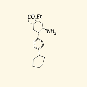 CCOC(=O)C[C@@H]1CC[C@@H](N)[C@H](c2ccc(C3CCCCC3)cc2)C1